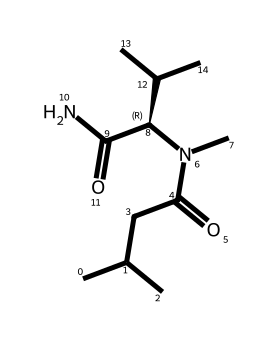 CC(C)CC(=O)N(C)[C@@H](C(N)=O)C(C)C